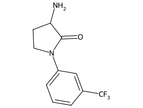 NC1CCN(c2cccc(C(F)(F)F)c2)C1=O